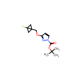 CC(C)(C)OC(=O)n1ccc(OCC23CC2(F)C3)n1